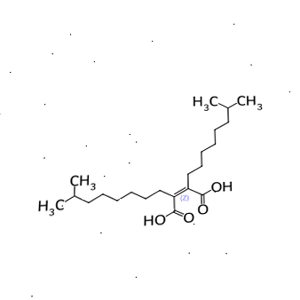 CC(C)CCCCCC/C(C(=O)O)=C(\CCCCCCC(C)C)C(=O)O